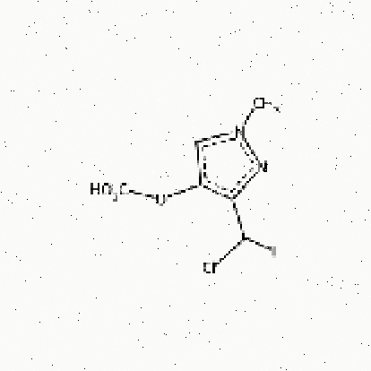 Cn1cc(OC(=O)O)c(C(F)Cl)n1